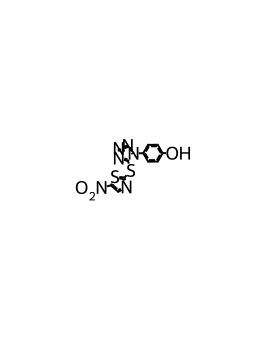 O=[N+]([O-])c1cnc(Sc2nnnn2-c2ccc(O)cc2)s1